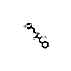 NC(CC1CCCCC1)C(=O)NCCc1c[nH]cn1